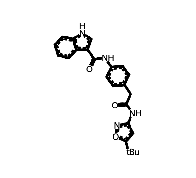 CC(C)(C)c1cc(NC(=O)Cc2ccc(NC(=O)c3c[nH]c4ccccc34)cc2)no1